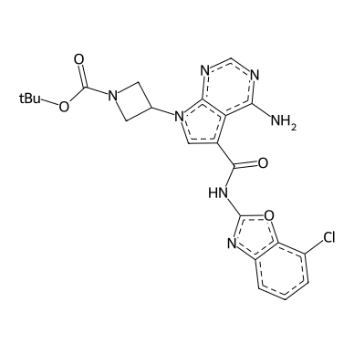 CC(C)(C)OC(=O)N1CC(n2cc(C(=O)Nc3nc4cccc(Cl)c4o3)c3c(N)ncnc32)C1